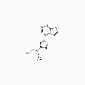 N#CCC(C1CC1)n1cc(-c2cnnc3[nH]ccc23)cn1